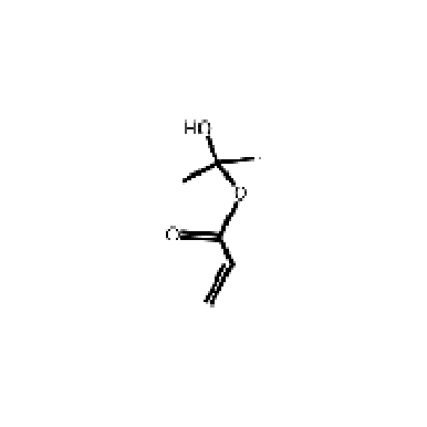 [CH2]C(C)(O)OC(=O)C=C